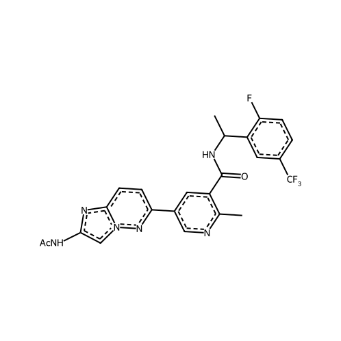 CC(=O)Nc1cn2nc(-c3cnc(C)c(C(=O)NC(C)c4cc(C(F)(F)F)ccc4F)c3)ccc2n1